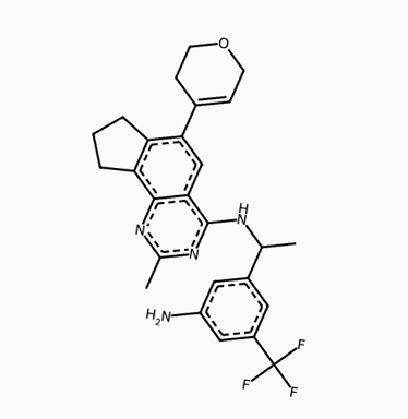 Cc1nc(NC(C)c2cc(N)cc(C(F)(F)F)c2)c2cc(C3=CCOCC3)c3c(c2n1)CCC3